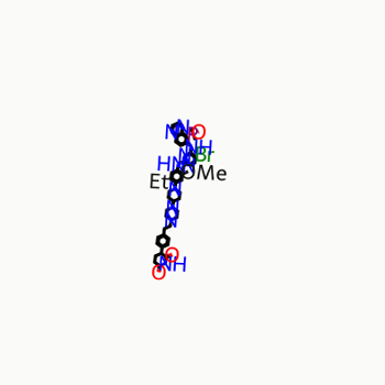 CCc1cc(Nc2ncc(Br)c(Nc3ccc4nccnc4c3P(C)(C)=O)n2)c(OC)cc1N1CCC(N2CCN(CCc3ccc(C4CCC(=O)NC4=O)cc3)CC2)CC1